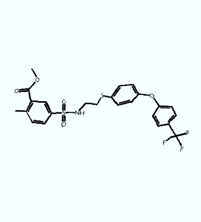 COC(=O)c1cc(S(=O)(=O)NCCSc2ccc(Oc3ccc(C(F)(F)F)cc3)cc2)ccc1C